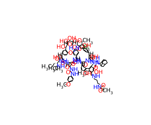 CN[C@H](CC(C)C)C(=O)N[C@H]1C(=O)N[C@@H](CC(=O)NC(=O)Nc2ccc(OC)cc2)C(=O)N[C@H]2C(=O)N[C@H]3C(=O)N[C@H](C(=O)N[C@H](C(=O)NC4C5CC6CC(C5)CC4C6)c4cc(O)c(CNCCCCNS(C)(=O)=O)c(C)c4-c4cc3ccc4O)[C@H](O)c3ccc(c(Cl)c3)Oc3cc2cc2c3O[C@@H]3O[C@H](C(O)c4cc(ccc4O2)[C@H]1O)[C@@H](O)[C@H](O)[C@H]3O[C@H]1C[C@](C)(N)[C@H](O)[C@H](C)O1